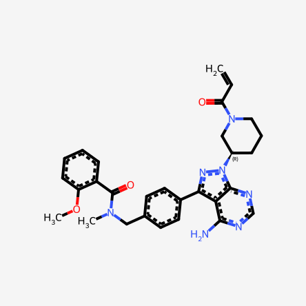 C=CC(=O)N1CCC[C@@H](n2nc(-c3ccc(CN(C)C(=O)c4ccccc4OC)cc3)c3c(N)ncnc32)C1